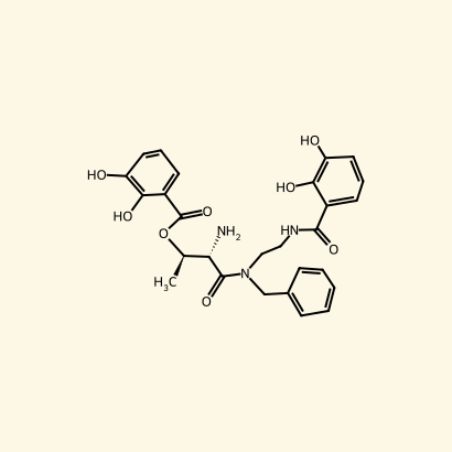 C[C@@H](OC(=O)c1cccc(O)c1O)[C@H](N)C(=O)N(CCNC(=O)c1cccc(O)c1O)Cc1ccccc1